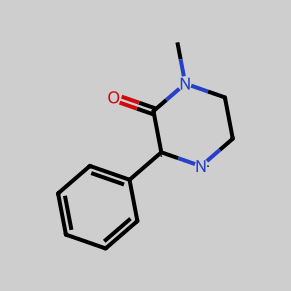 CN1CC[N][C](c2ccccc2)C1=O